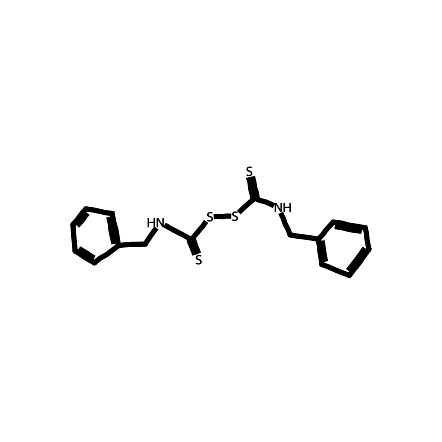 S=C(NCc1ccccc1)SSC(=S)NCc1ccccc1